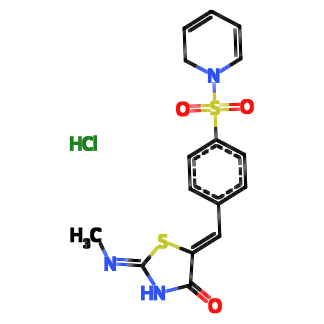 CN=C1NC(=O)C(=Cc2ccc(S(=O)(=O)N3C=CC=CC3)cc2)S1.Cl